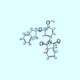 COc1ccc(N2C(=O)c3ccccc3C2=O)cc1OC1Cc2ccccc2C1